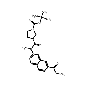 COC(=O)c1ccc2cnc(N(N)C(=O)[C@H]3CCN(C(=O)OC(C)(C)C)C3)cc2c1